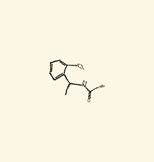 CCCCC(=O)NC(C)c1ccccc1Cl